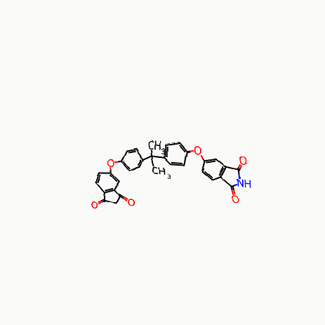 CC(C)(c1ccc(Oc2ccc3c(c2)C(=O)CC3=O)cc1)c1ccc(Oc2ccc3c(c2)C(=O)NC3=O)cc1